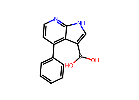 OB(O)c1c[nH]c2nccc(-c3ccccc3)c12